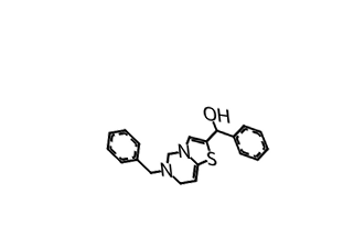 OC(C1=CN2CN(Cc3ccccc3)CC=C2S1)c1ccccc1